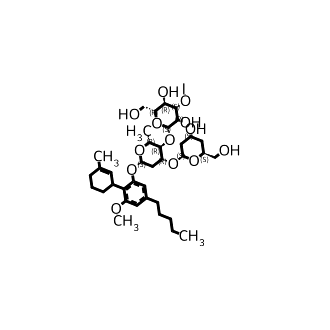 CCCCCc1cc(OC)c(C2C=C(C)CCC2)c(O[C@H]2C[C@@H](O[C@H]3C[C@@H](O)C[C@@H](CO)O3)[C@H](O[C@@H]3O[C@H](CO)[C@@H](O)[C@H](OI)[C@H]3O)[C@@H](C)O2)c1